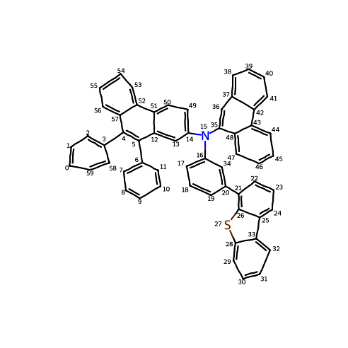 c1ccc(-c2c(-c3ccccc3)c3cc(N(c4cccc(-c5cccc6c5sc5ccccc56)c4)c4cc5ccccc5c5ccccc45)ccc3c3ccccc23)cc1